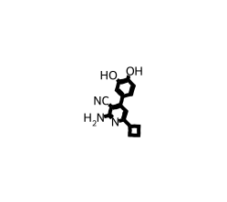 N#Cc1c(-c2ccc(O)c(O)c2)cc(C2CCC2)nc1N